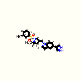 CC1(C)CC(Cn2ccc3cc(-c4cn[nH]c4)ccc32)CN1S(=O)(=O)C1=CC=CC(C#N)C1